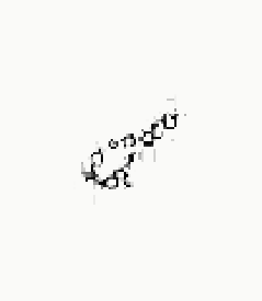 CNC(=O)COc1cc2cc(Nc3nc(N4CCC(OC5CC(N6CCN(c7ccc8c(c7C)C(=O)N(C7CCC(=O)NC7=O)C8=O)CC6)C5)CC4)ncc3Cl)ccc2n(C(C)C)c1=O